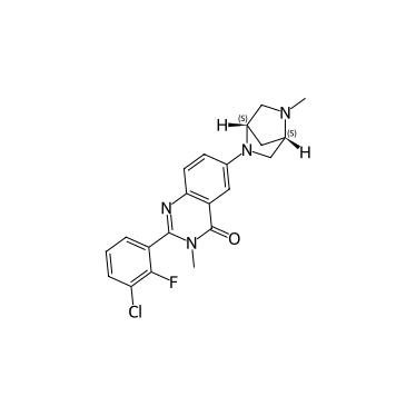 CN1C[C@@H]2C[C@H]1CN2c1ccc2nc(-c3cccc(Cl)c3F)n(C)c(=O)c2c1